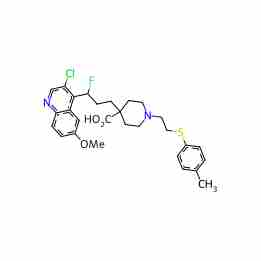 COc1ccc2ncc(Cl)c(C(F)CCC3(C(=O)O)CCN(CCSc4ccc(C)cc4)CC3)c2c1